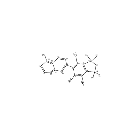 [2H]c1c([2H])c2c(c([2H])c1-c1ccc3c(C)cccc3n1)C(C)(C)CC2(C)C